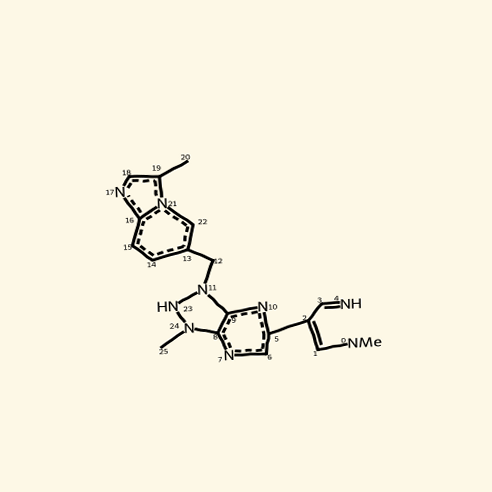 CN/C=C(\C=N)c1cnc2c(n1)N(Cc1ccc3ncc(C)n3c1)NN2C